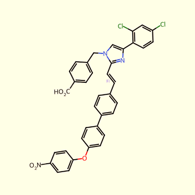 O=C(O)c1ccc(Cn2cc(-c3ccc(Cl)cc3Cl)nc2/C=C/c2ccc(-c3ccc(Oc4ccc([N+](=O)[O-])cc4)cc3)cc2)cc1